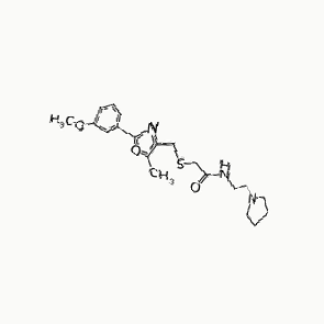 COc1cccc(-c2nc(CSCC(=O)NCCN3CCCC3)c(C)o2)c1